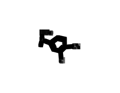 CNN(C)c1ccc(C#N)c(Cl)c1